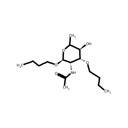 CCCCO[C@H]1OC(C)[C@@H](O)[C@H](OCCCC)[C@@H]1NC(C)=O